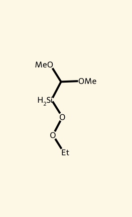 CCOO[SiH2]C(OC)OC